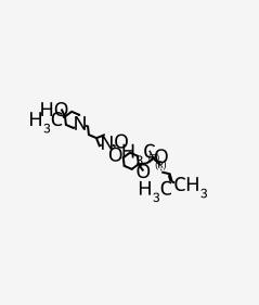 CC(C)=CC[C@H]1O[C@@]1(C)C1OC12CCC(OC(=O)N1CC(CCN3CCC(C)(O)CC3)C1)CC2